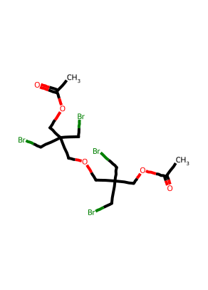 CC(=O)OCC(CBr)(CBr)COCC(CBr)(CBr)COC(C)=O